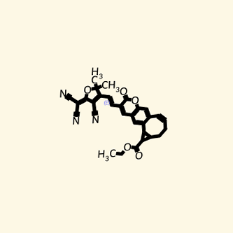 CCOC(=O)C1C2CCC#Cc3cc4oc(=O)c(/C=C/C5=C(C#N)C(=C(C#N)C#N)OC5(C)C)cc4cc3C21